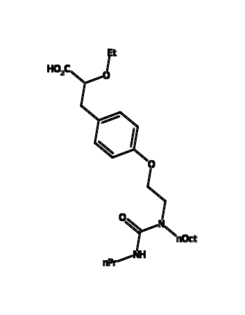 CCCCCCCCN(CCOc1ccc(CC(OCC)C(=O)O)cc1)C(=O)NCCC